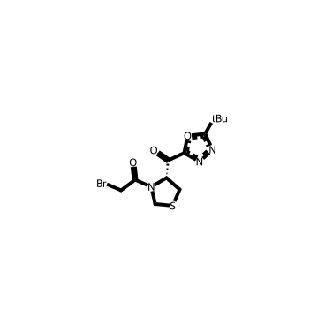 CC(C)(C)c1nnc(C(=O)[C@@H]2CSCN2C(=O)CBr)o1